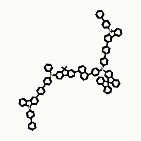 CC1(C)c2cc(-c3cccc4c(-c5ccc(N(c6ccc(-c7ccc(-c8ccc9c(c8)c8ccccc8n9-c8ccc(-c9ccccc9)cc8)cc7)cc6)c6ccc7c(c6)C6(c8ccccc8-c8ccccc86)c6ccccc6-7)cc5)cccc34)ccc2-c2ccc(N(c3ccccc3)c3ccc(-c4ccc(-c5ccc6c(c5)c5ccccc5n6-c5ccc(-c6ccccc6)cc5)cc4)cc3)cc21